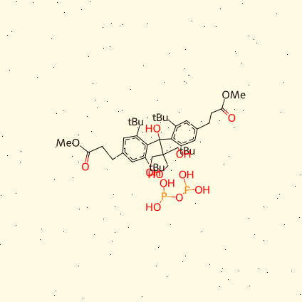 COC(=O)CCc1cc(C(C)(C)C)c(C(O)(c2c(C(C)(C)C)cc(CCC(=O)OC)cc2C(C)(C)C)C(CO)(CO)CO)c(C(C)(C)C)c1.OP(O)OP(O)O